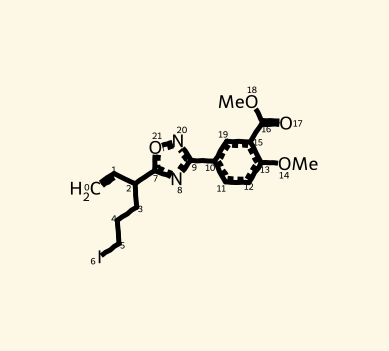 C=CC(CCCI)c1nc(-c2ccc(OC)c(C(=O)OC)c2)no1